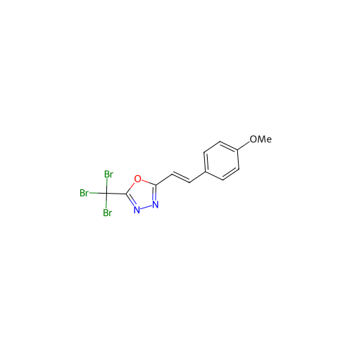 COc1ccc(C=Cc2nnc(C(Br)(Br)Br)o2)cc1